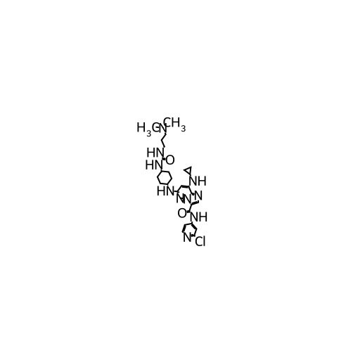 CN(C)CCCNC(=O)N[C@H]1CC[C@H](Nc2cc(NC3CC3)c3ncc(C(=O)Nc4ccnc(Cl)c4)n3n2)CC1